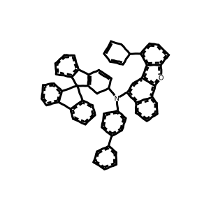 C1=CCC(c2cccc3oc4c5ccccc5c(N(c5ccc(-c6ccccc6)cc5)C5C=CC6=C(C5)C5(c7ccccc76)c6ccccc6-c6ccccc65)cc4c23)C=C1